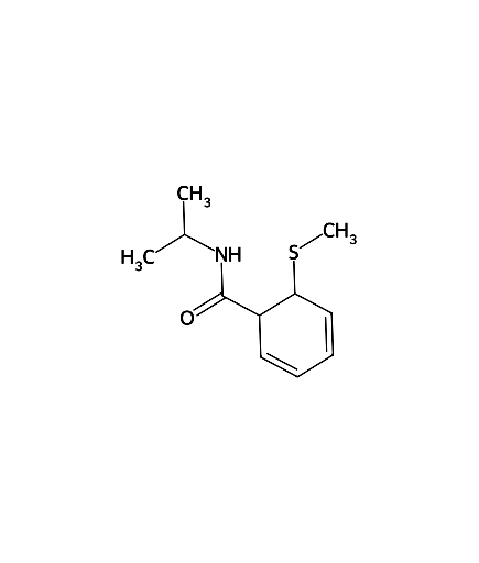 CSC1C=CC=CC1C(=O)NC(C)C